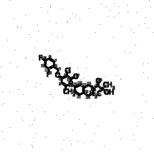 Cc1cc(OCc2ccc(F)cc2F)c(Cl)c(=O)n1-c1ccc2c(c1)CN(C(=O)C(C)(C)O)CC2